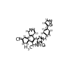 CC1Nn2c(nn(Cc3ccc(-c4ccno4)cc3)c2=O)C(c2ccncc2)=C1c1ccc(Cl)cc1